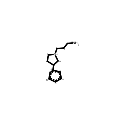 NCCCN1CCC(c2cc[c]cc2)C1